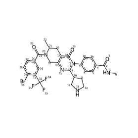 CNC(=O)c1ccc(-n2c(C3CCNC3)nc3c(c2=O)CC(C)N(C(=O)c2ccc(Br)c(C(F)(F)F)c2)C3)cc1